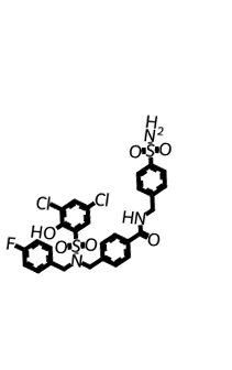 NS(=O)(=O)c1ccc(CNC(=O)c2ccc(CN(Cc3ccc(F)cc3)S(=O)(=O)c3cc(Cl)cc(Cl)c3O)cc2)cc1